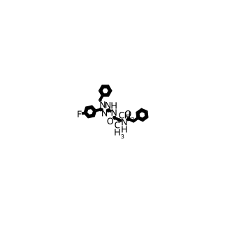 CC(C)(NC(=O)Cc1ccccc1)C(=O)Nc1nc(-c2ccc(F)cc2)n(Cc2ccccc2)n1